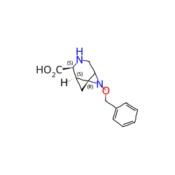 O=C(O)[C@H]1NCC2N(OCc3ccccc3)[C@@]23C[C@@H]13